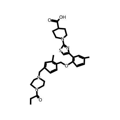 CCC(=O)N1CCN(Cc2ccc(COc3ccc(C)cc3-c3csc(N4CCC(C(=O)O)CC4)n3)c(C)c2)CC1